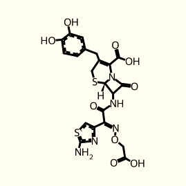 Nc1nc(C(=NOCC(=O)O)C(=O)NC2C(=O)N3C(C(=O)O)=C(Cc4ccc(O)c(O)c4)CS[C@@H]23)cs1